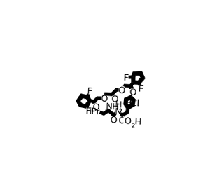 CC(C)C[C@H](N)C(=O)N[C@@H](Cc1ccccc1)C(=O)O.Cl.O=C(COCC(=O)c1c(F)cccc1F)COCC(=O)c1c(F)cccc1F